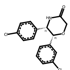 O=C1CO[C@H](c2cccc(Cl)c2)[C@H](c2ccc(Cl)cc2)N1